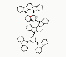 c1ccc(-n2c3ccccc3c3ccc4c5ccccc5n(-c5cccc(-n6c7ccccc7c7ccc8c(c9ccccc9n8-c8cc(-n9c%10ccccc%10c%10ccccc%109)cc(-n9c%10ccccc%10c%10ccccc%109)c8)c76)n5)c4c32)cc1